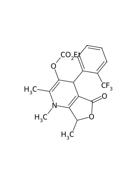 CCOC(=O)OC1=C(C)N(C)C2=C(C(=O)OC2C)C1c1ccccc1C(F)(F)F